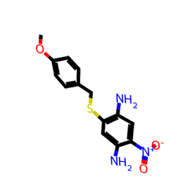 COc1ccc(CSc2cc(N)c([N+](=O)[O-])cc2N)cc1